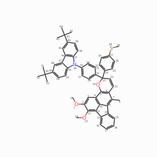 COc1cc2c3c(c(C)c4c2c(c1OC)-c1ccccc1-4)C=CC(c1ccc(SC)cc1)(c1ccc(-n2c4ccc(C(C)(C)C)cc4c4cc(C(C)(C)C)ccc42)cc1)O3